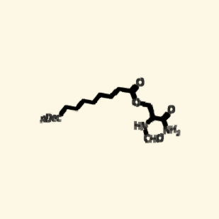 CCCCCCCCCCCCCCCCCC(=O)OCC(NC=O)C(N)=O